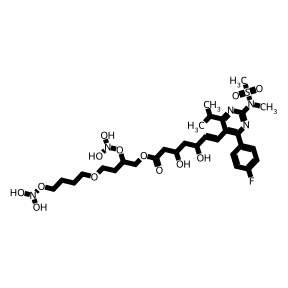 CC(C)c1nc(N(C)S(C)(=O)=O)nc(-c2ccc(F)cc2)c1/C=C/C(O)CC(O)CC(=O)OCC(CCOCCCCON(O)O)ON(O)O